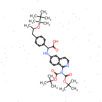 CC(Cc1ccc(C(Nc2ccc3c(N(C(=O)OC(C)(C)C)C(=O)OC(C)(C)C)nccc3c2)C(=O)O)cc1)O[Si](C)(C)C(C)(C)C